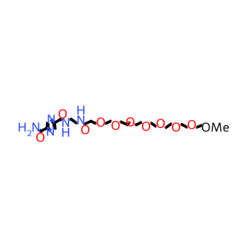 COCCOCCOCCOCCOCCOCCOCCOCCC(=O)NCCNC(=O)c1cnc(C(N)=O)cn1